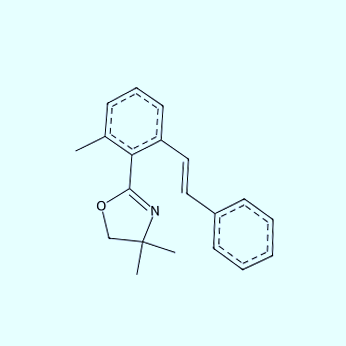 Cc1cccc(C=Cc2ccccc2)c1C1=NC(C)(C)CO1